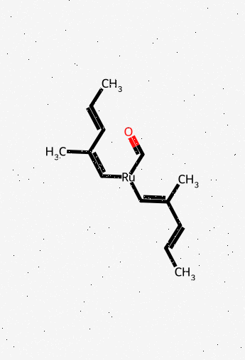 CC=CC(C)=[CH][Ru]([CH]=O)[CH]=C(C)C=CC